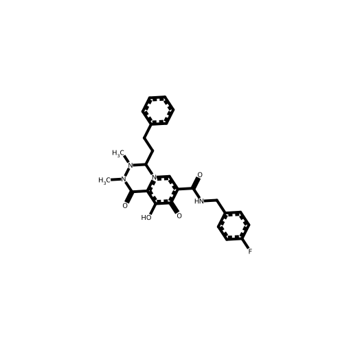 CN1C(=O)c2c(O)c(=O)c(C(=O)NCc3ccc(F)cc3)cn2C(CCc2ccccc2)N1C